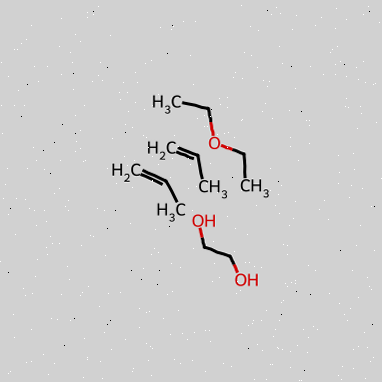 C=CC.C=CC.CCOCC.OCCO